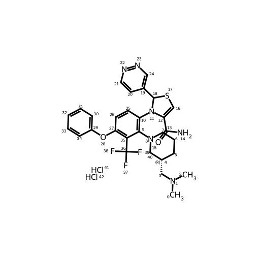 CN(C)C[C@H]1CCCN(c2c(N3C(C(N)=O)=CSC3c3ccnnc3)ccc(Oc3ccccc3)c2C(F)(F)F)C1.Cl.Cl